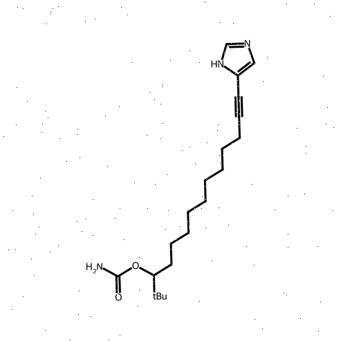 CC(C)(C)C(CCCCCCCCCC#Cc1cnc[nH]1)OC(N)=O